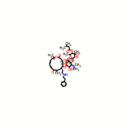 CO[C@@H]1[C@@H](O[C@@H]2O[C@H](C)[C@@H](OC3CC(C)(O)C(OC(=O)CC(C)C)C(C)O3)[C@H](N(C)C)[C@H]2O)[C@@H](CCNCCc2ccccc2)C[C@@H](C)C(=O)C=CC=CC[C@@H](C)OC(=O)C[C@@H]1O